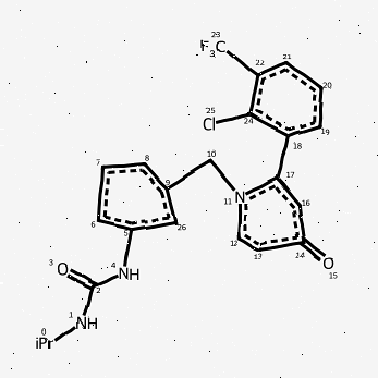 CC(C)NC(=O)Nc1cccc(Cn2ccc(=O)cc2-c2cccc(C(F)(F)F)c2Cl)c1